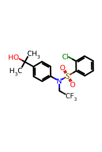 CC(C)(O)c1ccc(N(CC(F)(F)F)S(=O)(=O)c2ccccc2Cl)cc1